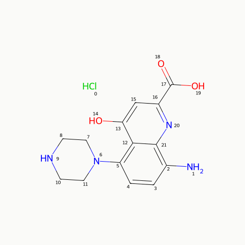 Cl.Nc1ccc(N2CCNCC2)c2c(O)cc(C(=O)O)nc12